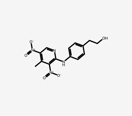 Cc1c([N+](=O)[O-])cnc(Nc2ccc(CCO)cc2)c1[N+](=O)[O-]